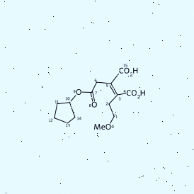 COCCC(C(=O)O)=C(CC(=O)OC1CCCC1)C(=O)O